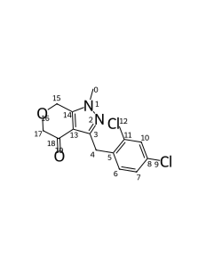 Cn1nc(Cc2ccc(Cl)cc2Cl)c2c1COCC2=O